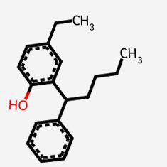 CCCCC(c1ccccc1)c1cc(CC)ccc1O